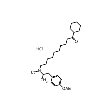 CCN(CCCCCCCCCC(=O)C1CCCCC1)C(C)Cc1ccc(OC)cc1.Cl